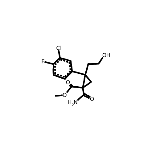 COC(=O)C1(C(N)=O)CC1(CCO)c1ccc(F)c(Cl)c1